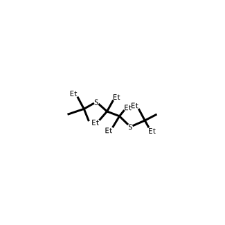 CCC(C)(C)SC(CC)(CC)C(CC)(CC)SC(C)(CC)CC